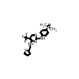 CP(C)(=O)c1ccc(Nc2ncc(C(F)(F)F)c(NCc3cccs3)n2)cc1